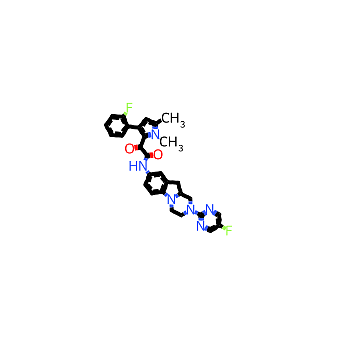 Cc1cc(-c2ccccc2F)c(C(=O)C(=O)Nc2ccc3c(c2)CC2CN(c4ncc(F)cn4)CCN32)n1C